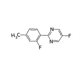 Cc1ccc(-c2ncc(F)cn2)c(F)c1